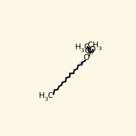 CCCCCCCCCCCCCCC/C=C/COC[C@@H]1COC(C)(C)O1